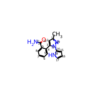 Cc1cc(-c2ccccc2C(N)=O)n(-c2ccc[nH]2)n1